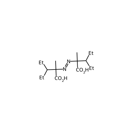 CCC(CC)C(C)(N=NC(C)(C(=O)O)C(CC)CC)C(=O)O